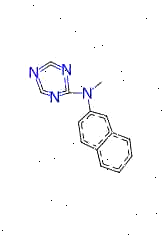 CN(c1ccc2ccccc2c1)c1ncncn1